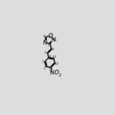 O=[N+]([O-])c1ccc(C=Cc2ncon2)cc1